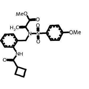 C=C(C(=O)OC)N(Cc1ccccc1NC(=O)C1CCC1)S(=O)(=O)c1ccc(OC)cc1